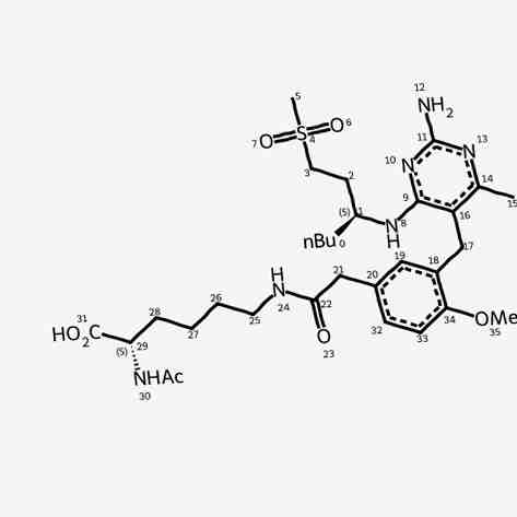 CCCC[C@@H](CCS(C)(=O)=O)Nc1nc(N)nc(C)c1Cc1cc(CC(=O)NCCCC[C@H](NC(C)=O)C(=O)O)ccc1OC